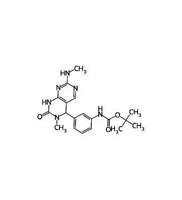 CNc1ncc2c(n1)NC(=O)N(C)C2c1cccc(NC(=O)OC(C)(C)C)c1